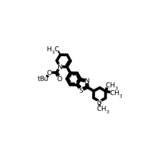 C[C@H]1CC=C(c2ccc3sc(C4CN(C)CC(C)(C)C4)nc3c2)N(C(=O)OC(C)(C)C)C1